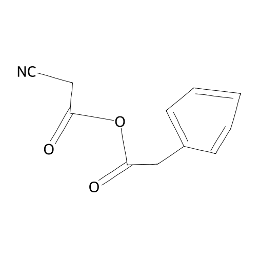 N#CCC(=O)OC(=O)Cc1ccccc1